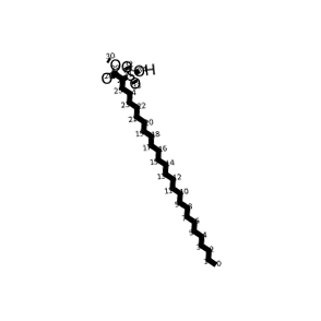 CCCCCCCCCCCCCCCCCCCCCCCCCCC(C(=O)OC)S(=O)(=O)O